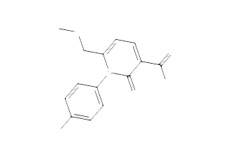 COCc1ccc(C(=O)O)c(=O)n1-c1ccc(F)cc1